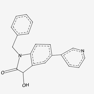 O=C1C(O)c2cc(-c3cccnc3)ccc2N1Cc1ccccc1